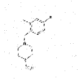 Cc1cc(Br)ccc1CN1CCN(C(=O)O)CC1